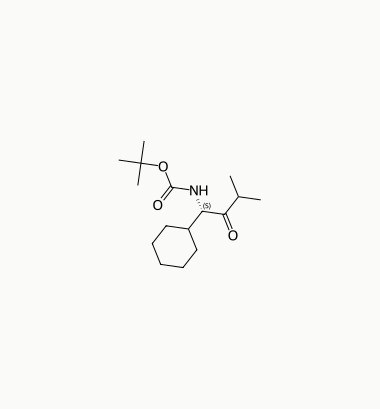 CC(C)C(=O)[C@@H](NC(=O)OC(C)(C)C)C1CCCCC1